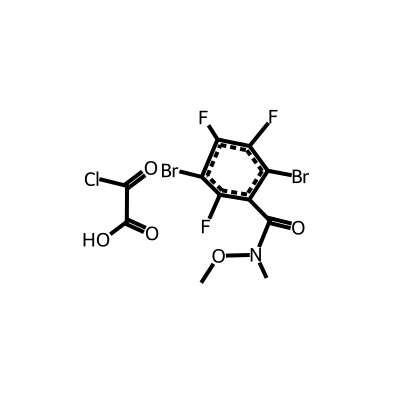 CON(C)C(=O)c1c(F)c(Br)c(F)c(F)c1Br.O=C(O)C(=O)Cl